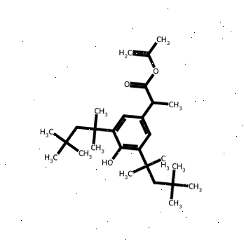 C=C(C)OC(=O)C(C)c1cc(C(C)(C)CC(C)(C)C)c(O)c(C(C)(C)CC(C)(C)C)c1